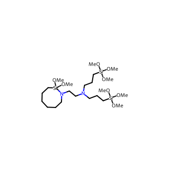 CO[Si](CCCN(CCC[Si](OC)(OC)OC)CCN1CCCCCC[Si]1(OC)OC)(OC)OC